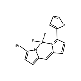 CC(C)c1ccc2n1[B-](F)(F)[N+]1=C(c3cccs3)C=CC1=C2